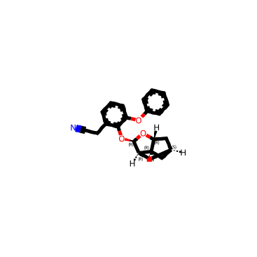 N#C[CH]c1cccc(Oc2ccccc2)c1O[C@H]1O[C@@H]2C[C@H]3C[C@@H]2[C@H]1C3